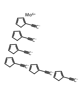 [C-]#CC1=CC=CC1.[C-]#CC1=CC=CC1.[C-]#CC1=CC=CC1.[C-]#CC1=CC=CC1.[C-]#CC1=CC=CC1.[C-]#CC1=CC=CC1.[Mo+6]